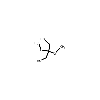 COC(CO)(CO)OC